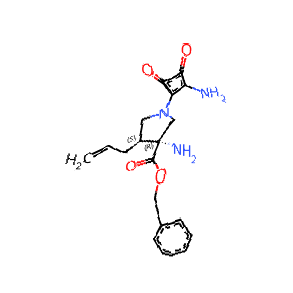 C=CC[C@H]1CN(c2c(N)c(=O)c2=O)C[C@@]1(N)C(=O)OCc1ccccc1